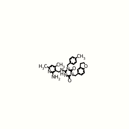 Cc1ccc(Cn2c(NCc3c(C)cc(C)nc3N)nc(=O)n(Cc3ccc4c(c3)CCO4)c2=O)cc1